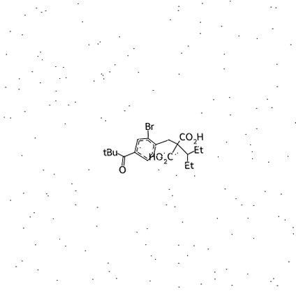 CCC(CC)C(Cc1ccc(C(=O)C(C)(C)C)cc1Br)(C(=O)O)C(=O)O